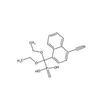 CCOC(OCC)(c1ccc(C#N)c2ccccc12)P(=O)(O)O